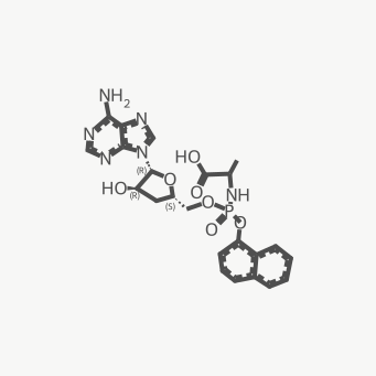 CC(NP(=O)(OC[C@@H]1C[C@@H](O)[C@H](n2cnc3c(N)ncnc32)O1)Oc1cccc2ccccc12)C(=O)O